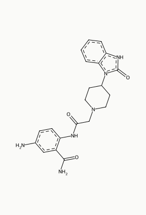 NC(=O)c1cc(N)ccc1NC(=O)CN1CCC(n2c(=O)[nH]c3ccccc32)CC1